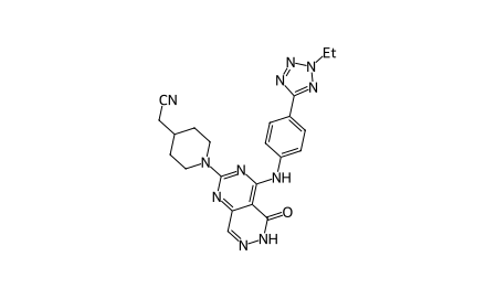 CCn1nnc(-c2ccc(Nc3nc(N4CCC(CC#N)CC4)nc4cn[nH]c(=O)c34)cc2)n1